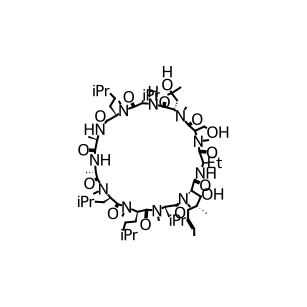 C/C=C/C[C@@H](C)[C@@H](O)[C@H]1C(=O)N[C@H](CC)C(=O)N(C)C(CO)C(=O)N(C)[C@@H](CC(C)(C)O)C(=O)N[C@H](C(C)C)C(=O)N(C)[C@H](CCC(C)C)C(=O)N[C@H](C)C(=O)N[C@@H](C)C(=O)N(C)[C@H](CC(C)C)C(=O)N(C)[C@H](CCC(C)C)C(=O)N(C)[C@H](C(C)C)C(=O)N1C